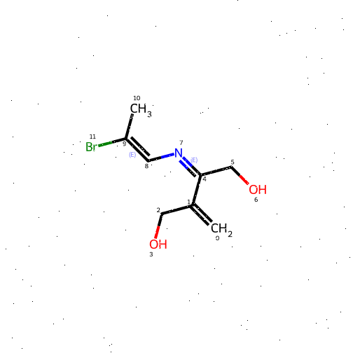 C=C(CO)/C(CO)=N\C=C(/C)Br